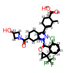 CC1C=C(c2nn(C(=O)c3c(Cl)cccc3C3(C(F)(F)F)CC3)c3c2CCC(C(=O)N2CC(O)C2)C3)CCC1C(=O)O